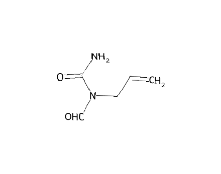 C=CCN(C=O)C(N)=O